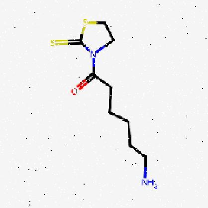 NCCCCCC(=O)N1CCSC1=S